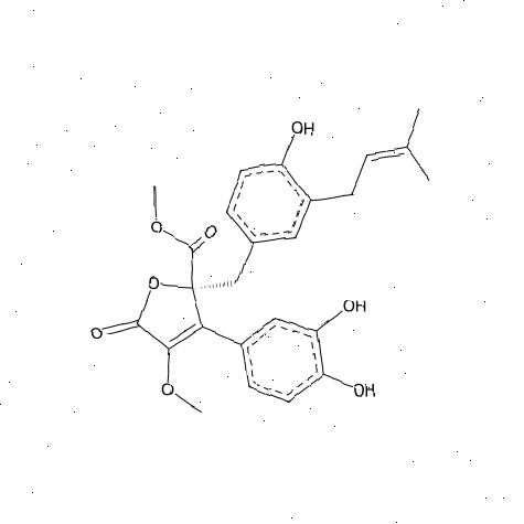 COC(=O)[C@]1(Cc2ccc(O)c(CC=C(C)C)c2)OC(=O)C(OC)=C1c1ccc(O)c(O)c1